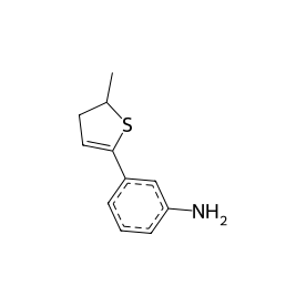 CC1CC=C(c2cccc(N)c2)S1